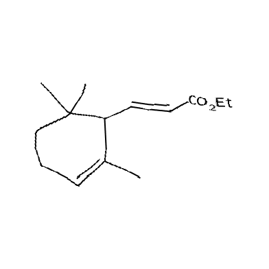 CCOC(=O)/C=C/C1C(C)=CCCC1(C)C